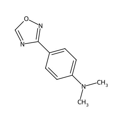 CN(C)c1ccc(-c2ncon2)cc1